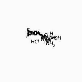 Cc1c(C=CCN2CCN(c3cc(F)cc(F)c3)CC2)cnn1-c1nc(N)nc(NCCO)n1.Cl